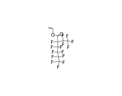 C=COC(=O)C(F)(C(F)(F)C(F)(F)F)C(F)(F)C(F)(F)C(F)(F)C(F)(F)F